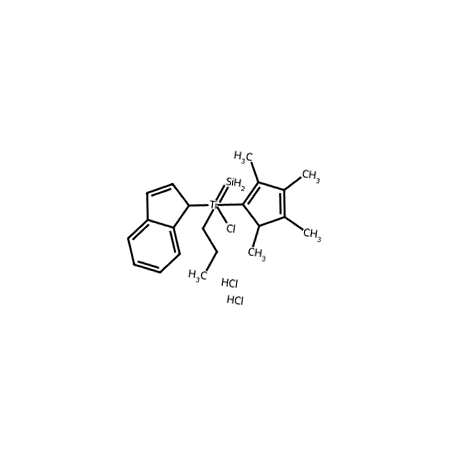 CC[CH2][Ti](=[SiH2])([Cl])([C]1=C(C)C(C)=C(C)C1C)[CH]1C=Cc2ccccc21.Cl.Cl